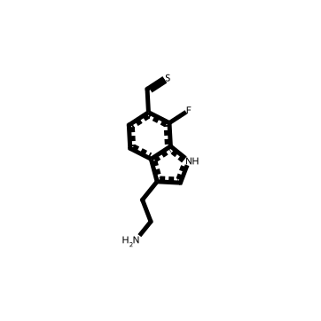 NCCc1c[nH]c2c(F)c(C=S)ccc12